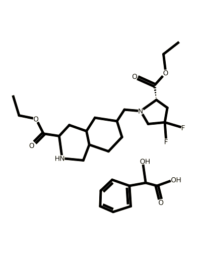 CCOC(=O)C1CC2CC(CN3CC(F)(F)C[C@H]3C(=O)OCC)CCC2CN1.O=C(O)C(O)c1ccccc1